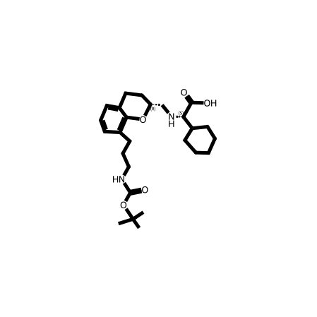 CC(C)(C)OC(=O)NCCCc1cccc2c1O[C@@H](CN[C@H](C(=O)O)C1CCCCC1)CC2